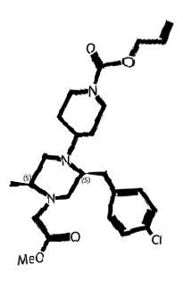 C=CCOC(=O)N1CCC(N2C[C@H](C)N(CC(=O)OC)C[C@@H]2Cc2ccc(Cl)cc2)CC1